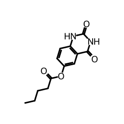 CCCCC(=O)Oc1ccc2[nH]c(=O)[nH]c(=O)c2c1